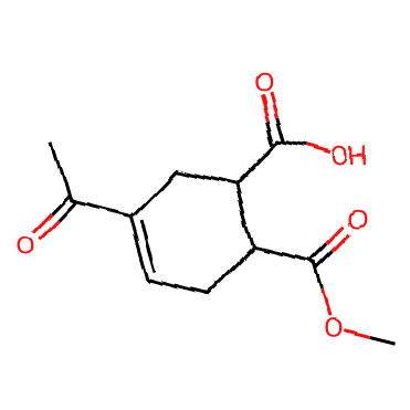 COC(=O)C1CC=C(C(C)=O)CC1C(=O)O